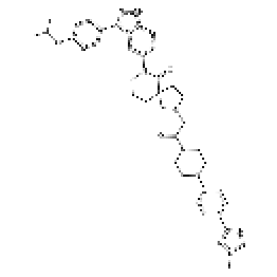 CC(C)Oc1ccc(-c2n[nH]c3ccc(N4CCCC5(CCN(CC(=O)N6CCN(c7ccc(-c8ncn(C)n8)cc7)CC6)C5)C4=O)cc23)cn1